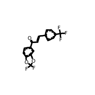 O=C(C=Cc1ccc(C(F)(F)F)cc1)c1ccc2c(c1)OC(F)(F)O2